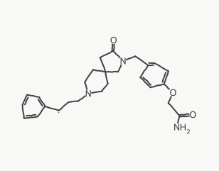 NC(=O)COc1ccc(CN2CC3(CCN(CC[CH]c4ccccc4)CC3)CC2=O)cc1